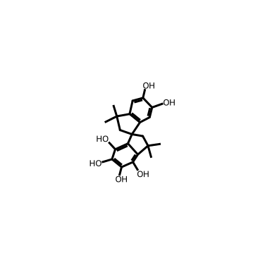 CC1(C)CC2(CC(C)(C)c3c(O)c(O)c(O)c(O)c32)c2cc(O)c(O)cc21